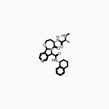 CN[C@@H](C)C(=O)N[C@H]1CCOC2c3ccncc3C(C(=O)N[C@@H]3CCCc4ccccc43)N2C1=O